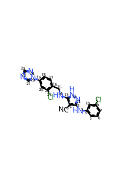 N#Cc1c(Nc2cccc(Cl)c2)n[nH]c1NCc1ccc(-n2cncn2)cc1Cl